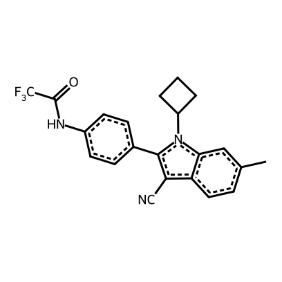 Cc1ccc2c(C#N)c(-c3ccc(NC(=O)C(F)(F)F)cc3)n(C3CCC3)c2c1